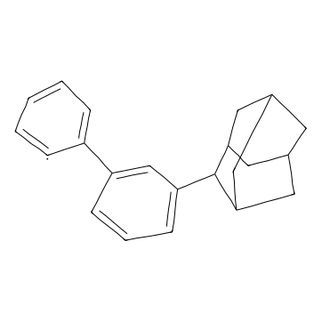 [c]1ccccc1-c1cccc(C2C3CC4CC(C3)CC2C4)c1